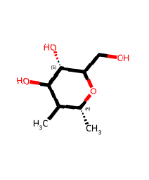 CC1C(O)[C@H](O)C(CO)O[C@@H]1C